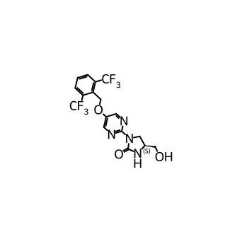 O=C1N[C@H](CO)CN1c1ncc(OCc2c(C(F)(F)F)cccc2C(F)(F)F)cn1